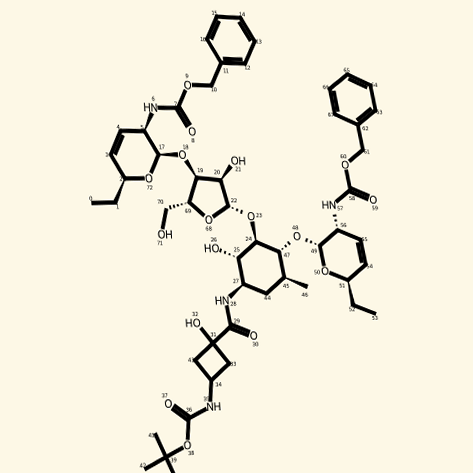 CC[C@H]1C=C[C@@H](NC(=O)OCc2ccccc2)[C@@H](O[C@H]2[C@@H](O)[C@H](O[C@@H]3[C@@H](O)[C@H](NC(=O)C4(O)CC(NC(=O)OC(C)(C)C)C4)C[C@H](C)[C@H]3O[C@H]3O[C@H](CC)C=C[C@H]3NC(=O)OCc3ccccc3)O[C@@H]2CO)O1